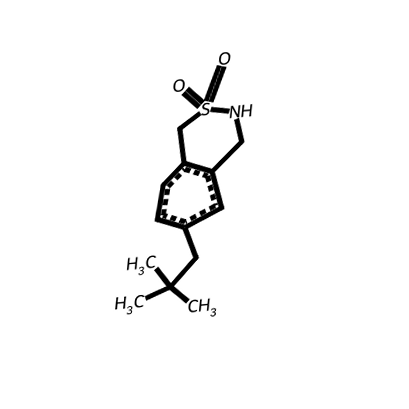 CC(C)(C)Cc1ccc2c(c1)CNS(=O)(=O)C2